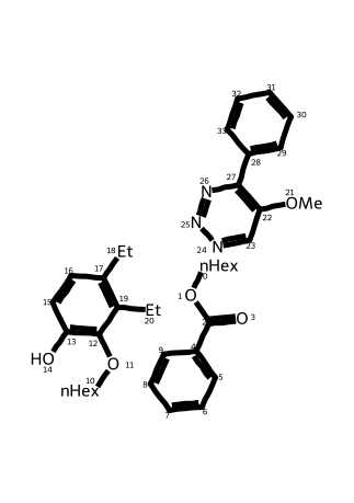 CCCCCCOC(=O)c1ccccc1.CCCCCCOc1c(O)ccc(CC)c1CC.COc1cnnnc1-c1ccccc1